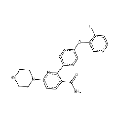 NC(=O)c1ccc(N2CCNCC2)nc1-c1ccc(Oc2ccccc2F)cc1